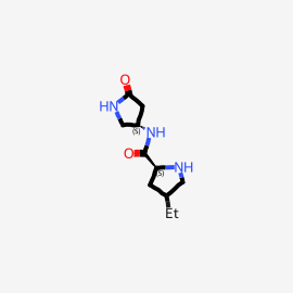 CCC1CN[C@H](C(=O)N[C@@H]2CNC(=O)C2)C1